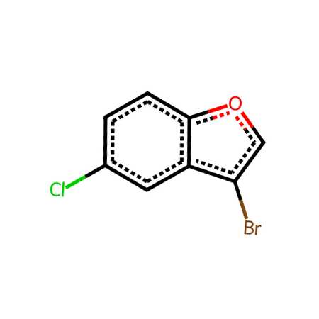 Clc1ccc2occ(Br)c2c1